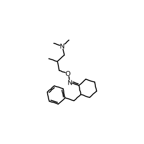 CC(CON=C1CCCCC1Cc1ccccc1)CN(C)C